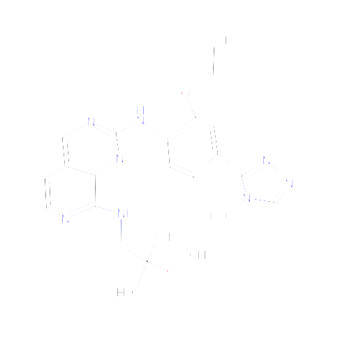 CCOc1cc(-c2nncn2C)ccc1Nc1ncc2ccnc(NCC(C)(C)OC)c2n1